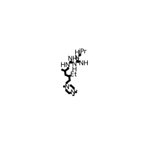 CCC(CC[N+]1(C)CC[N+](C)(C)CC1)CC(C)CNC(=N)NC(=N)NCC(C)C